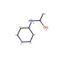 CC(O)NC1CC[N]CC1